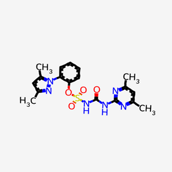 Cc1cc(C)nc(NC(=O)NS(=O)(=O)Oc2ccccc2-n2nc(C)cc2C)n1